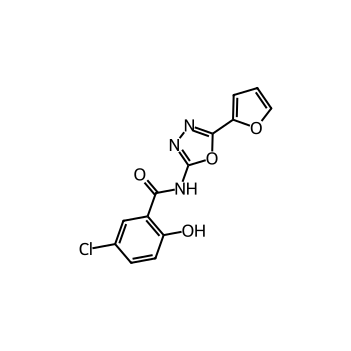 O=C(Nc1nnc(-c2ccco2)o1)c1cc(Cl)ccc1O